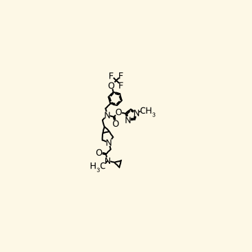 CN(C(=O)CN1CC2C(C1)C2CN(Cc1cccc(OC(F)(F)F)c1)C(=O)Oc1cn(C)cn1)C1CC1